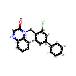 O=c1cnc2ccccc2n1Cc1ccc(-c2ccccc2)cc1F